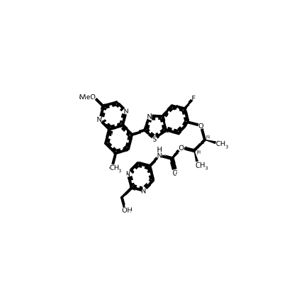 COc1cnc2c(-c3nc4cc(F)c(O[C@@H](C)[C@@H](C)OC(=O)Nc5cnc(CO)nc5)cc4s3)cc(C)cc2n1